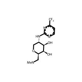 CNC[C@H]1OC[C@H](Nc2nccc(C(F)(F)F)n2)[C@@H](O)[C@H]1O